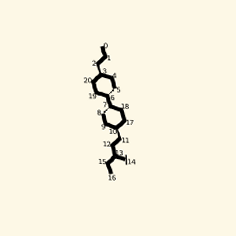 CCC[C@H]1CC[C@H]([C@H]2CC[C@H](CCC(I)CC)CC2)CC1